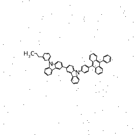 CCCc1cccc(-n2c3ccccc3c3cc(-c4ccc5c(c4)c4ccccc4n5-c4ccc(-c5c6ccccc6c(-c6ccccc6)c6ccccc56)cc4)ccc32)c1